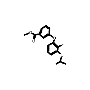 COC(=O)c1cccc(Oc2cccc(OC(C)C)c2F)c1